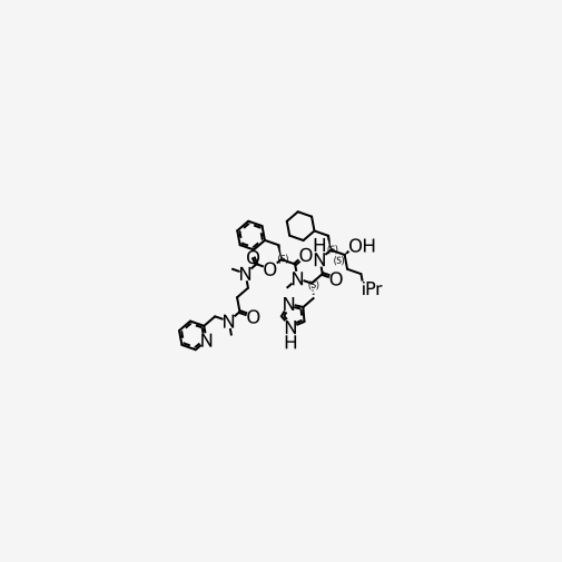 CC(C)CC[C@H](O)[C@H](CC1CCCCC1)NC(=O)[C@H](Cc1c[nH]cn1)N(C)C(=O)[C@H](Cc1ccccc1)OC(=O)N(C)CCC(=O)N(C)Cc1ccccn1